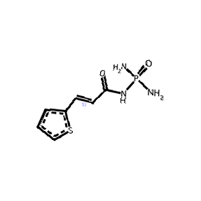 NP(N)(=O)NC(=O)/C=C/c1cccs1